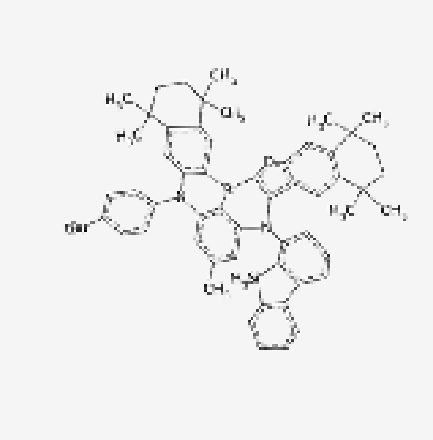 Cc1cc2c3c(c1)N(c1cccc4c1[SiH2]c1ccccc1-4)c1c(oc4cc5c(cc14)C(C)(C)CCC5(C)C)B3c1cc3c(cc1N2c1ccc(C(C)(C)C)cc1)C(C)(C)CCC3(C)C